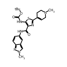 CN1CC=C(c2nc(C(=O)Nc3ccc4nn(C)cc4c3)c(NC(=O)OC(C)(C)C)s2)CC1